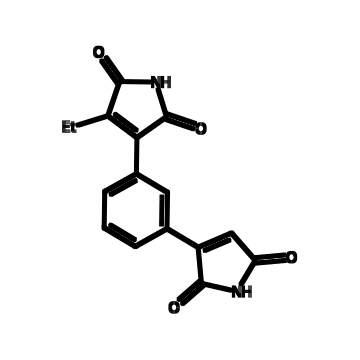 CCC1=C(c2cccc(C3=CC(=O)NC3=O)c2)C(=O)NC1=O